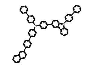 c1ccc(-c2ccc(N(c3ccc(-c4ccc(-c5ccc6ccccc6c5)cc4)cc3)c3ccc(-c4ccc5c(c4)c4ccccc4n5-c4ccc(-c5ccccc5)cc4)cc3)cc2)cc1